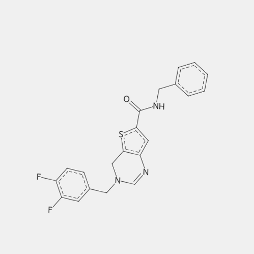 O=C(NCc1ccccc1)c1cc2c(s1)CN(Cc1ccc(F)c(F)c1)C=N2